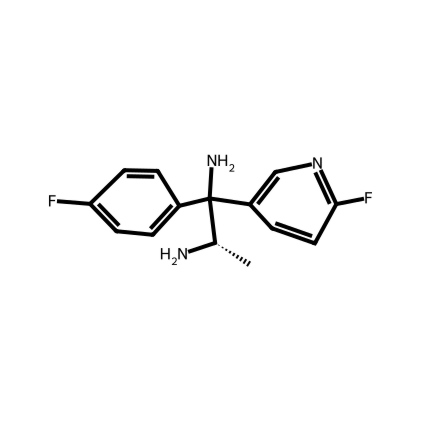 C[C@H](N)C(N)(c1ccc(F)cc1)c1ccc(F)nc1